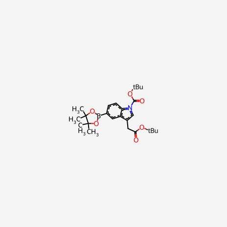 CC(C)(C)OC(=O)Cc1cn(C(=O)OC(C)(C)C)c2ccc(B3OC(C)(C)C(C)(C)O3)cc12